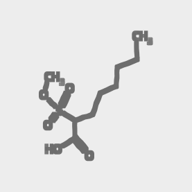 CCCCCCC(C(=O)O)S(=O)(=O)OC